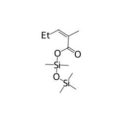 CCC=C(C)C(=O)O[Si](C)(C)O[Si](C)(C)C